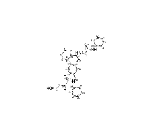 O=C(CNC(=O)[C@@H]1CCCC[C@H]1c1ccc(CN(C(=O)NCCO)c2ccccc2)cc1)Nc1ccccc1